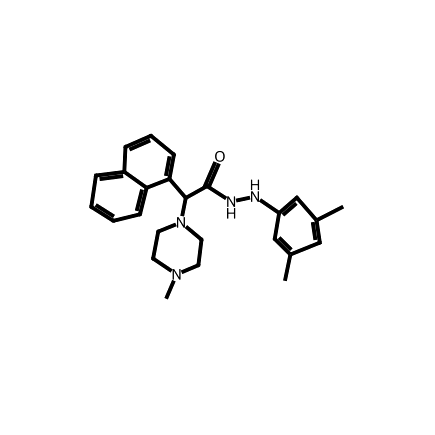 Cc1cc(C)cc(NNC(=O)C(c2cccc3ccccc23)N2CCN(C)CC2)c1